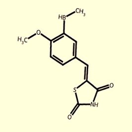 CBc1cc(/C=C2\SC(=O)NC2=O)ccc1OC